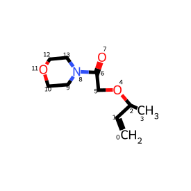 C=CC(C)OCC(=O)N1CCOCC1